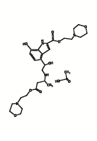 CC(=O)O.CC(CC(=O)OCCN1CCOCC1)NCC(O)c1ccc(O)c2[nH]c(C(=O)OCCN3CCOCC3)cc12